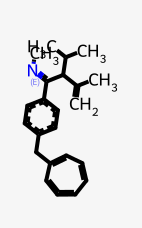 C=C(C)C(/C(=N\C)c1ccc(CC2=CC=CC=C=C2)cc1)C(C)C